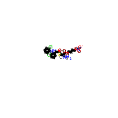 CC(C)(SC(=O)Cc1ccccc1Nc1c(Cl)cccc1Cl)C(N)C(=O)OCCCCO[N+](=O)[O-]